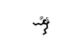 CCCCc1csc([P])c1CCCC